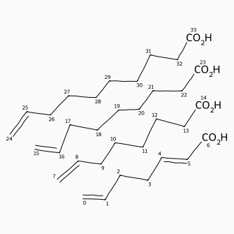 C=CCCC=CC(=O)O.C=CCCCCCC(=O)O.C=CCCCCCCC(=O)O.C=CCCCCCCCC(=O)O